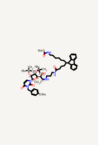 COC(=O)NCCCCCCC(CCCC(=O)NCCCN[C@H](C(=O)O)C(O)[C@H]1O[C@@H](n2ccc(=O)n(Cc3ccc(OC)cc3)c2=O)[C@H](O[Si](C)(C)C(C)(C)C)[C@@H]1O[Si](C)(C)C(C)(C)C)C1c2ccccc2-c2ccccc21